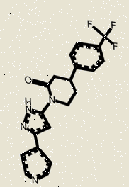 O=C1CC(c2ccc(C(F)(F)F)cc2)CCN1c1cc(-c2ccncc2)n[nH]1